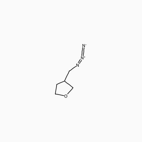 [N-]=[N+]=NCC1CCOC1